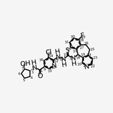 O=C(N[C@@H]1CCC[C@H]1O)c1cnc(NNC(=S)NC2c3cnccc3CCc3c(F)cccc32)c(Cl)c1